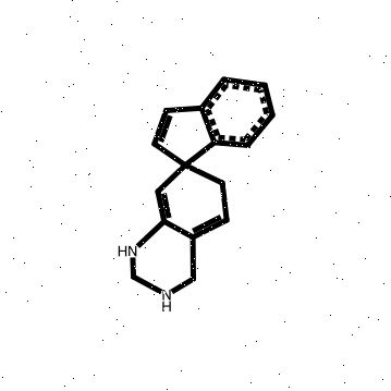 C1=CC2(C=C3NCNCC3=CC2)c2ccccc21